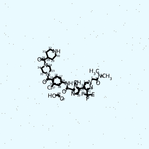 CN(C)C(=O)Cn1cc(-c2cnc(C(=O)Nc3ccc(C(=O)N4CCN(C(=O)C5CCNCC5)CC4)c(Cl)c3)n2C)c(C(F)(F)F)n1.O=CO